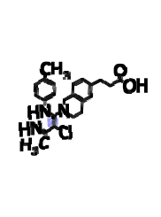 CC(=N)/C(Cl)=C(\Nc1ccc(C)cc1)N1CCc2cc(CCC(=O)O)ccc2C1